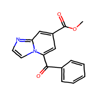 COC(=O)c1cc(C(=O)c2ccccc2)n2ccnc2c1